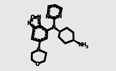 N[C@H]1CC[C@@H](N(c2ncccn2)c2cc(N3CCOCC3)cc3nonc23)CC1